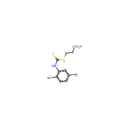 CC(=O)c1ccc(C(C)=O)c(NC(=S)SCCC(=O)O)c1